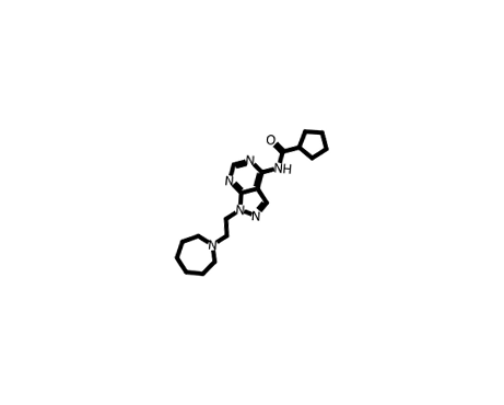 O=C(Nc1ncnc2c1cnn2CCN1CCCCCC1)C1CCCC1